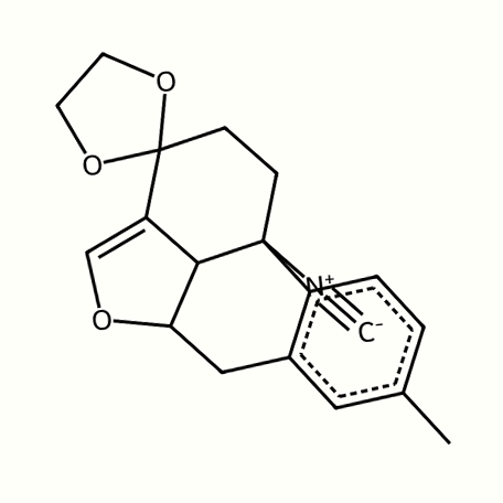 [C-]#[N+]C12CCC3(OCCO3)C3=COC(Cc4cc(C)ccc41)C32